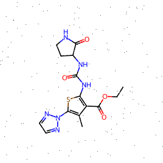 CCOC(=O)c1c(NC(=O)NC2CCNC2=O)sc(-n2nccn2)c1C